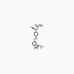 CC#C[C@@H](CC(=O)O)c1ccc(OCc2ccc3c(C)nn(CC(C)C)c3c2)cc1